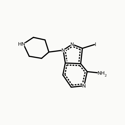 Nc1nccc2c1c(I)nn2C1CCNCC1